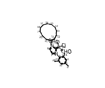 Cc1cc(C)c(-n2ccn(C3CCCCCCCCCCC3)[c]2=[Ir]([Cl])([CH]=O)[CH]=O)c(C)c1